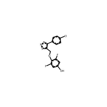 Oc1cc(F)c(OCc2snnc2-c2ccc(Cl)cc2)c(F)c1